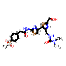 CN(C)C(=O)NCc1nc(CO)sc1-c1csc(NC(=O)Cc2ccc(S(=O)(=O)C(F)(F)F)cc2)n1